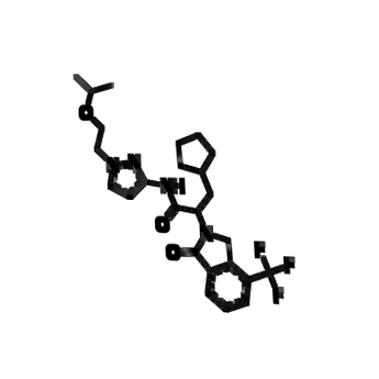 CC(C)OCCn1ccc(NC(=O)C(CC2CCCC2)N2Cc3c(cccc3C(F)(F)F)C2=O)n1